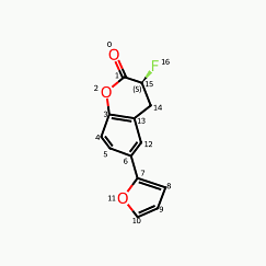 O=C1Oc2ccc(-c3ccco3)cc2C[C@@H]1F